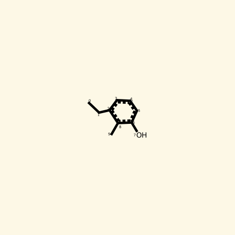 CCc1c[c]cc(O)c1C